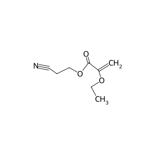 C=C(OCC)C(=O)OCCC#N